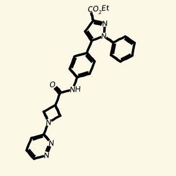 CCOC(=O)c1cc(-c2ccc(NC(=O)C3CN(c4cccnn4)C3)cc2)n(-c2ccccc2)n1